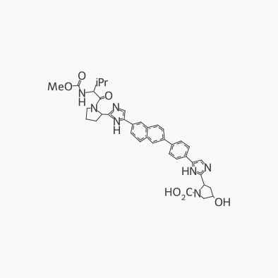 COC(=O)NC(C(=O)N1CCCC1c1ncc(-c2ccc3cc(-c4ccc(-c5cnc(C6CC(O)CN6C(=O)O)[nH]5)cc4)ccc3c2)[nH]1)C(C)C